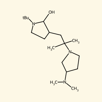 CN(C)C1CCN(C(C)(C)CC2CCN(C(C)(C)C)C2O)C1